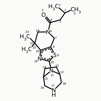 CC(C)CC(=O)N1Cc2sc(N3C4CCC3CNC4)nc2C(C)(C)C1